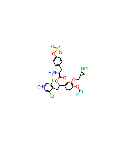 CS(=O)(=O)Oc1ccc(CC(N)C(=O)OC(Cc2c(Cl)c[n+]([O-])cc2Cl)c2ccc(OC(F)F)c(OCC3CC3)c2)cc1.Cl